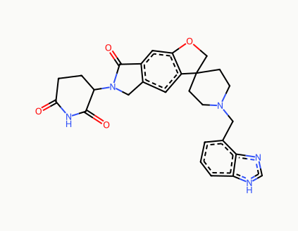 O=C1CCC(N2Cc3cc4c(cc3C2=O)OCC42CCN(Cc3cccc4[nH]cnc34)CC2)C(=O)N1